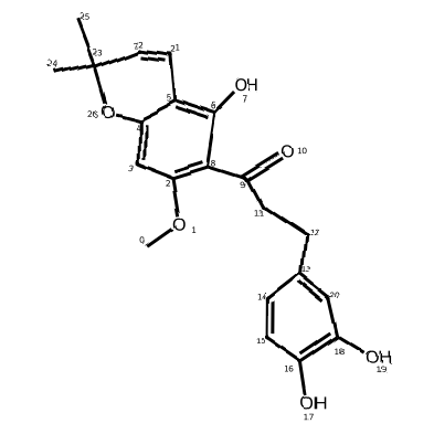 COc1cc2c(c(O)c1C(=O)CCc1ccc(O)c(O)c1)C=CC(C)(C)O2